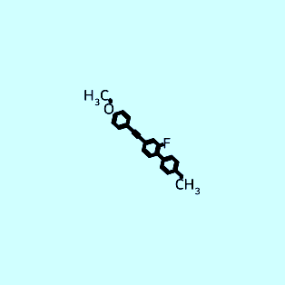 CCOc1ccc(C#Cc2ccc(-c3ccc(CC)cc3)c(F)c2)cc1